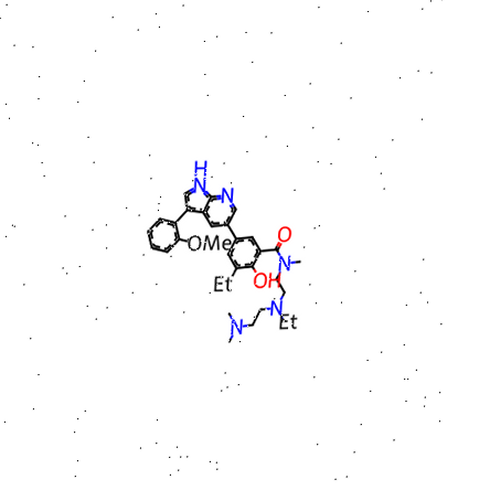 CCc1cc(-c2cnc3[nH]cc(-c4ccccc4OC)c3c2)cc(C(=O)N(C)CCN(CC)CCN(C)C)c1O